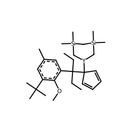 CCC(CC)(c1cc(C)cc(C(C)(C)C)c1OC)[C]1([Y]([CH2][Si](C)(C)C)[CH2][Si](C)(C)C)C=CC=C1